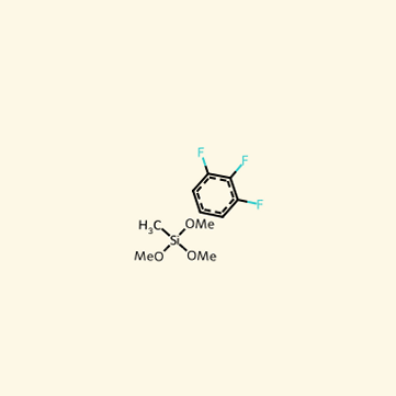 CO[Si](C)(OC)OC.Fc1cccc(F)c1F